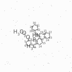 COCOc1ccccc1Pc1c(C)cccc1N(Cc1ccccc1)Cc1ccccc1